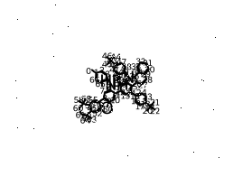 Cc1ccc(Nc2cc3c(cc2-c2cc(-c4ccc(C(C)(C)C)cc4)c4c5ccc6ccccc6c5n5c4c2Bc2cc(C(C)(C)C)ccc2-5)oc2cc4c(cc23)C(C)(C)CCC4(C)C)cc1